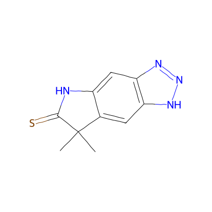 CC1(C)C(=S)Nc2cc3nn[nH]c3cc21